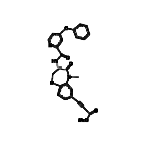 COC(=O)C#Cc1ccc2c(c1)N(C)C(=O)[C@@H](NC(=O)c1cc(Oc3ccccc3)ccn1)CO2